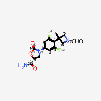 CC1(c2c(F)cc(N3C[C@H](C(N)=O)OC3=O)cc2F)CN(C=O)C1